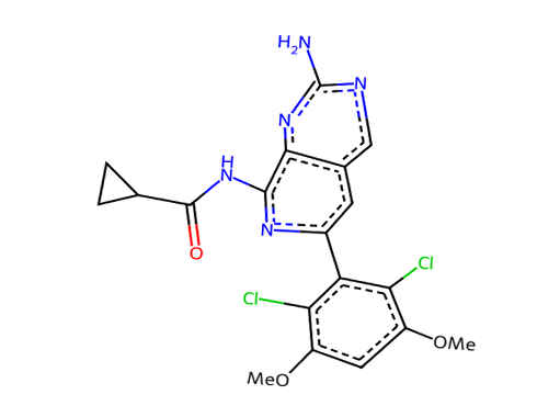 COc1cc(OC)c(Cl)c(-c2cc3cnc(N)nc3c(NC(=O)C3CC3)n2)c1Cl